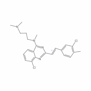 Cc1ccc(/C=C/c2nc(N(C)CCCN(C)C)c3cccc(Cl)c3n2)cc1Cl